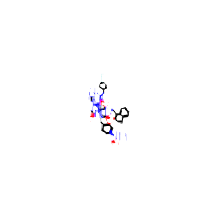 N#CCN(C(=O)NCc1ccc(F)cc1)N1CC(=O)N2[C@@H](Cc3ccc(NC=O)cc3)C(=O)N(Cc3cccc4ccccc34)C[C@@H]21